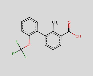 Cc1c(C(=O)O)cccc1-c1ccccc1OC(F)(F)F